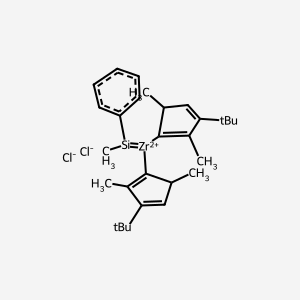 CC1=[C]([Zr+2]([C]2=C(C)C(C(C)(C)C)=CC2C)=[Si](C)c2ccccc2)C(C)C=C1C(C)(C)C.[Cl-].[Cl-]